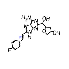 Nc1nc(C(O)C2CC(O)CO2)nc2[nH]c(/C=C/c3ccc(F)cc3)nc12